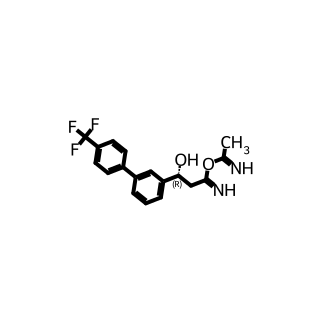 CC(=N)OC(=N)C[C@@H](O)c1cccc(-c2ccc(C(F)(F)F)cc2)c1